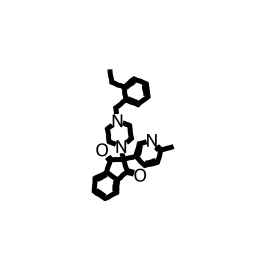 CCc1ccccc1CN1CCN(C2(c3ccc(C)nc3)C(=O)c3ccccc3C2=O)CC1